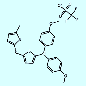 COc1ccc([S+](c2ccc(OC)cc2)c2ccc(Sc3ccc(C)s3)s2)cc1.O=S(=O)([O-])C(F)(F)F